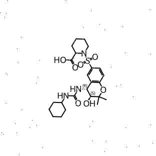 CC1(C)Oc2ccc(S(=O)(=O)N3CCCCC3C(=O)O)cc2[C@@H](NC(=O)NC2CCCCC2)[C@@H]1O